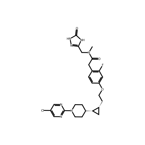 CN(Cc1n[nH]c(=O)[nH]1)C(=O)Cc1ccc(OCC[C@@H]2C[C@@H]2C2CCN(c3ncc(Cl)cn3)CC2)cc1F